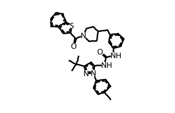 Cc1ccc(-n2nc(C(C)(C)C)cc2NC(=O)Nc2cccc(CC3CCN(C(=O)c4cc5ccccc5s4)CC3)c2)cc1